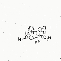 CC(NC(=O)O)C1CN(C(=NC#N)Nc2cc(OC(F)F)ccc2OCCCN(C)C)N=C1c1ccc(Cl)c(Cl)c1